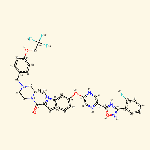 Cn1c(C(=O)N2CCN(Cc3ccc(OCC(F)(F)F)cc3)CC2)cc2ccc(Oc3cnc(-c4nc(-c5ccccc5F)no4)cn3)cc21